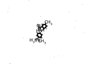 Cc1ccc(CNc2ccc(N(C)C)cc2)c([N+](=O)[O-])c1